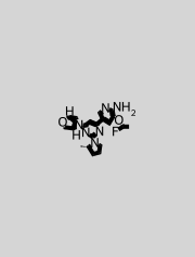 CC(F)Oc1cc(-c2cc(N3C[C@@H]4C[C@H]3CO4)nc(N3CCC[C@@H]3C)n2)cnc1N